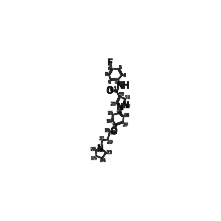 O=C(Nc1ccc(F)cc1)c1cnn(-c2ccc(OCCCN3CCCC3)cc2)c1